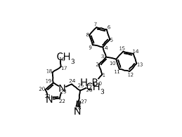 BCC=C(c1ccccc1)c1ccccc1.CCCc1cncn1CC(C)C#N